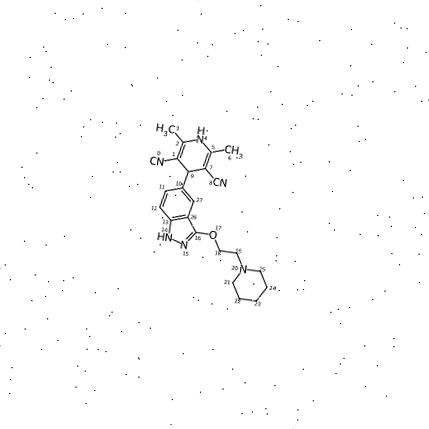 [C-]#[N+]C1=C(C)NC(C)=C(C#N)C1c1ccc2[nH]nc(OCCN3CCCCC3)c2c1